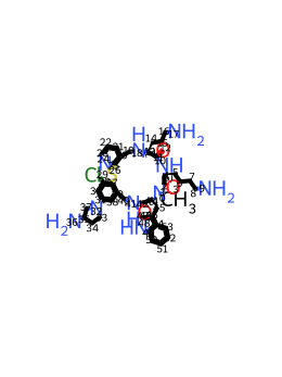 CN1C(=O)[C@H](CCCCN)NC(=O)[C@H](CCCN)NCc2cccnc2Sc2c(Cl)cc(N3CCC(N)C3)cc2CNC(=O)[C@@H]1Cc1c[nH]c2ccccc12